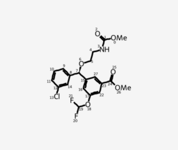 COC(=O)NCCO[C@H](c1cccc(Cl)c1)c1cc(OC(F)F)cc(C(=O)OC)c1